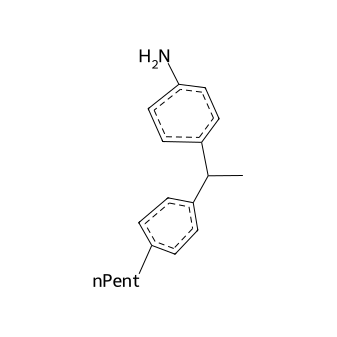 CCCCCc1ccc(C(C)c2ccc(N)cc2)cc1